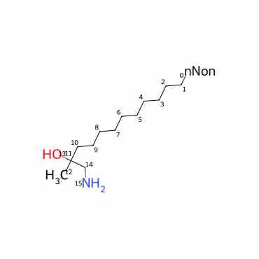 CCCCCCCCCCCCCCCCCCCC(C)(O)CN